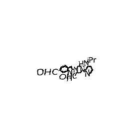 CC(C)Nc1cccnc1N1CCN(c2cc3ccc(C=O)cc3[nH]2)C(C=O)C1